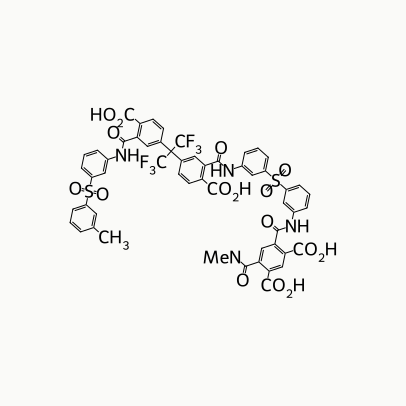 CNC(=O)c1cc(C(=O)Nc2cccc(S(=O)(=O)c3cccc(NC(=O)c4cc(C(c5ccc(C(=O)O)c(C(=O)Nc6cccc(S(=O)(=O)c7cccc(C)c7)c6)c5)(C(F)(F)F)C(F)(F)F)ccc4C(=O)O)c3)c2)c(C(=O)O)cc1C(=O)O